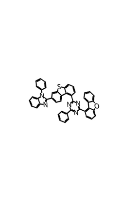 c1ccc(-c2nc(-c3cccc4oc5ccccc5c34)nc(-c3cccc4sc5cc(-c6nc7ccccc7n6-c6ccccc6)ccc5c34)n2)cc1